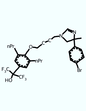 CCCc1cc(C(O)(C(F)(F)F)C(F)(F)F)cc(CCC)c1OCCCCN1C=NC(C)(c2ccc(Br)cc2)C1